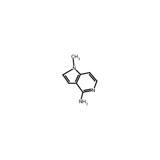 Cn1ccc2c(N)nccc21